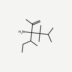 C=C(C)C(N)(C(C)CC)C(C)(C)C(C)C